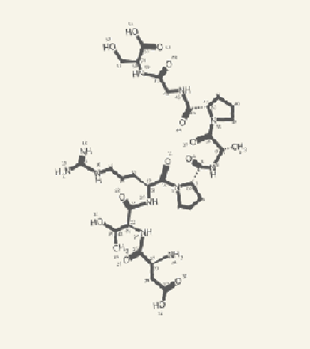 C[C@H](NC(=O)[C@@H]1CCCN1C(=O)[C@H](CCCNC(=N)N)NC(=O)[C@@H](NC(=O)[C@@H](N)CC(=O)O)[C@@H](C)O)C(=O)N1CCC[C@H]1C(=O)NCC(=O)N[C@@H](CO)C(=O)O